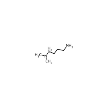 CN(C)[SiH2]CCCN